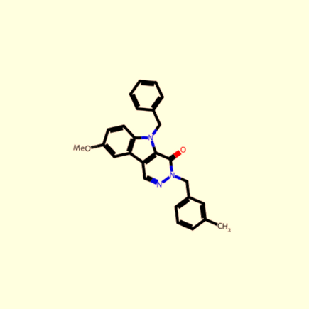 COc1ccc2c(c1)c1cnn(Cc3cccc(C)c3)c(=O)c1n2Cc1ccccc1